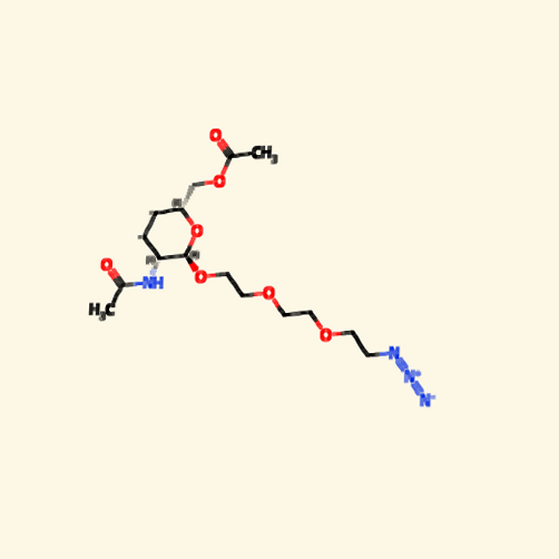 CC(=O)N[C@@H]1[CH][CH][C@H](COC(C)=O)O[C@H]1OCCOCCOCCN=[N+]=[N-]